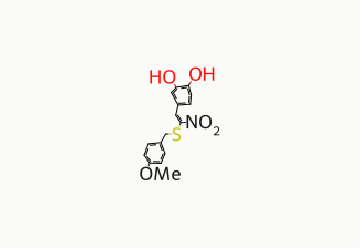 COc1ccc(CSC(=Cc2ccc(O)c(O)c2)[N+](=O)[O-])cc1